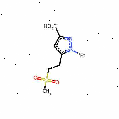 CCn1nc(C(=O)O)cc1CCS(C)(=O)=O